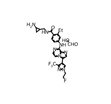 CCc1cc(Nc2nccn3c(-c4cn(CCF)nc4C(F)(F)F)cnc23)ccc1C(=O)NCC1CC1N.O=CO